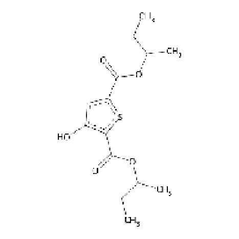 CCC(C)OC(=O)c1cc(O)c(C(=O)OC(C)CC)s1